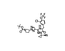 CC(C)(C)OC(=O)N1CCC(n2ncc(C(=O)N[C@@H](Cc3ccc(OC(F)(F)F)c(Cl)c3)C(=O)NC3(C#N)CC3)n2)C1